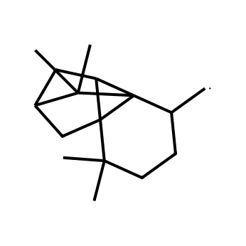 [CH2]C1CCC(C)(C)C23CC4CC2C13C4(C)C